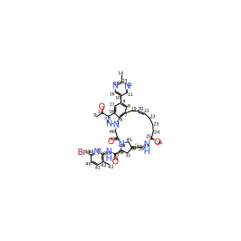 CC(=O)c1nn2c3c(cc(-c4cnc(C)nc4)cc13)C/C=C\CCCC(=O)NC[C@@]1(F)C[C@@H](C(=O)Nc3nc(Br)ccc3C)N(C1)C(=O)C2